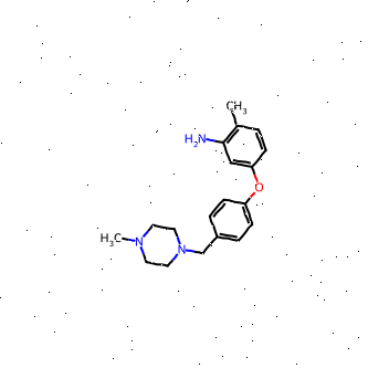 Cc1ccc(Oc2ccc(CN3CCN(C)CC3)cc2)cc1N